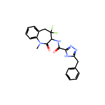 CN1C(=O)C(NC(=O)c2nnc(Cc3ccccc3)[nH]2)C(F)(F)Cc2ccccc21